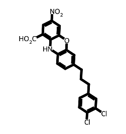 O=C(O)c1cc([N+](=O)[O-])cc2c1Nc1ccc(CCCc3ccc(Cl)c(Cl)c3)cc1O2